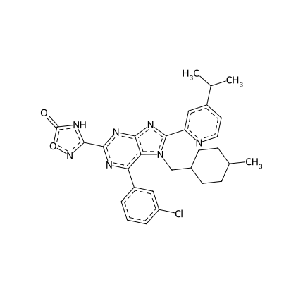 CC1CCC(Cn2c(-c3cc(C(C)C)ccn3)nc3nc(-c4noc(=O)[nH]4)nc(-c4cccc(Cl)c4)c32)CC1